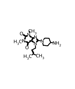 CC(C)=CCn1c(N2CCC(N)CC2)nc2c1c(=O)n(C)c(=O)n2C